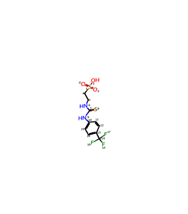 O=S(=O)(O)CCNC(=S)Nc1ccc(C(F)(F)F)cc1